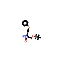 C[C@@H](O[Si](C)(C)C(C)(C)C)[C@H]1C(=O)N[C@H]1C#CSc1ccccc1